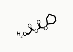 C=CC(=O)OC(=O)OC1CCCCC1